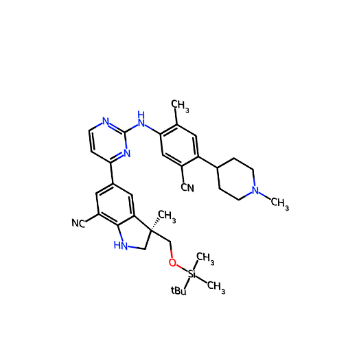 Cc1cc(C2CCN(C)CC2)c(C#N)cc1Nc1nccc(-c2cc(C#N)c3c(c2)[C@@](C)(CO[Si](C)(C)C(C)(C)C)CN3)n1